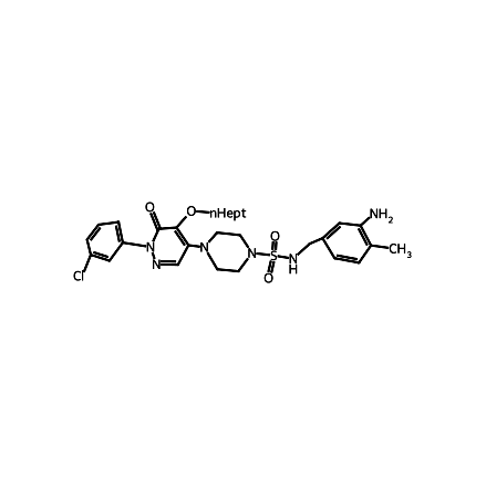 CCCCCCCOc1c(N2CCN(S(=O)(=O)NCc3ccc(C)c(N)c3)CC2)cnn(-c2cccc(Cl)c2)c1=O